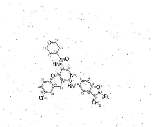 CCc1oc2ccc(Nc3ncc(NC(=O)C4CCOCC4)c(=O)n3Cc3cccc(Cl)c3)cc2c1C